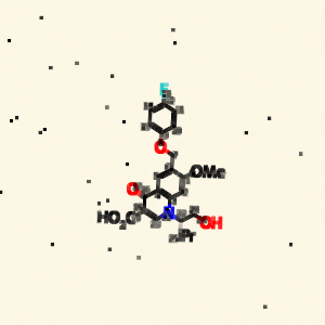 COc1cc2c(cc1COc1ccc(F)cc1)c(=O)c(C(=O)O)cn2[C@H](CO)C(C)C